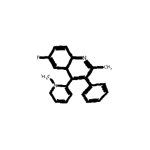 CC1=NC2C=CC(F)=CC2C(C2=CC=CCN2C)=C1c1ccccc1